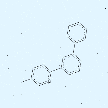 Cc1ccc(-c2cccc(-c3ccccc3)c2)nc1